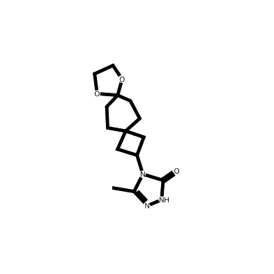 Cc1n[nH]c(=O)n1C1CC2(CCC3(CC2)OCCO3)C1